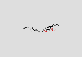 CCCCCCCCCCCCCCCCCCOc1ccc(C=O)c(O)c1